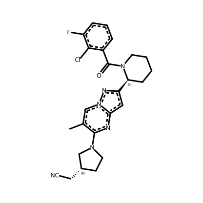 Cc1cn2nc([C@@H]3CCCCN3C(=O)c3cccc(F)c3Cl)cc2nc1N1CC[C@H](CC#N)C1